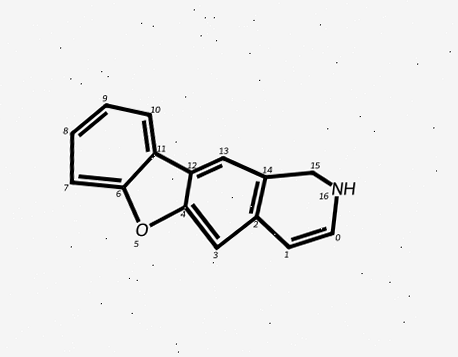 C1=Cc2cc3oc4ccccc4c3cc2CN1